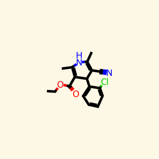 CCOC(=O)C1=C(C)NC(C)=C(C#N)C1c1ccccc1Cl